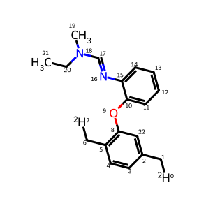 [2H]Cc1ccc(C[2H])c(Oc2ccccc2N=CN(C)CC)c1